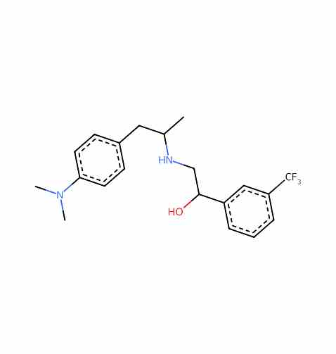 CC(Cc1ccc(N(C)C)cc1)NCC(O)c1cccc(C(F)(F)F)c1